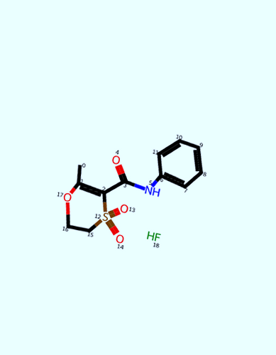 CC1=C(C(=O)Nc2ccccc2)S(=O)(=O)CCO1.F